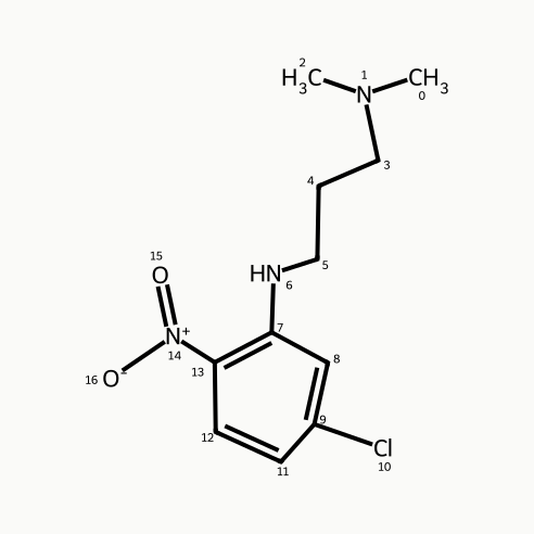 CN(C)CCCNc1cc(Cl)ccc1[N+](=O)[O-]